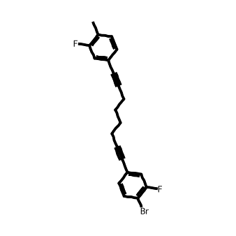 Cc1ccc(C#CCCCCC#Cc2ccc(Br)c(F)c2)cc1F